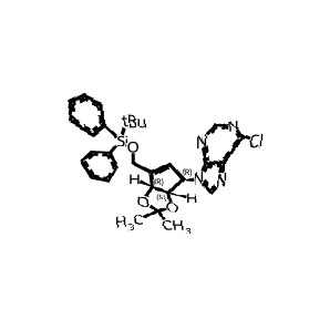 CC1(C)O[C@@H]2[C@H](O1)C(CO[Si](c1ccccc1)(c1ccccc1)C(C)(C)C)=C[C@H]2n1cnc2c(Cl)ncnc21